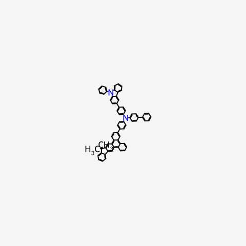 CC1(C)c2ccccc2-c2cc3c4ccccc4c4cc(-c5ccc(N(c6ccc(-c7ccccc7)cc6)c6ccc(-c7ccc8c(c7)c7ccccc7n8-c7ccccc7)cc6)cc5)ccc4c3cc21